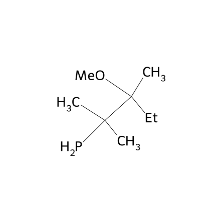 CCC(C)(OC)C(C)(C)P